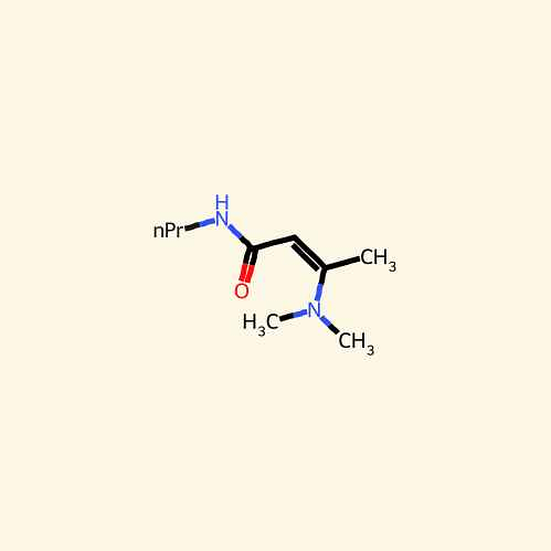 CCCNC(=O)C=C(C)N(C)C